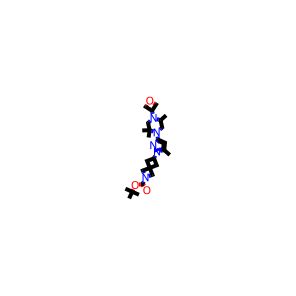 Cc1cc(N2CC(C)N(C3COC3)CC2(C)C)nn1C1CC2(C1)CN(C(=O)OC(C)(C)C)C2